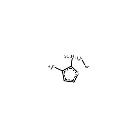 CC(N)=O.Cc1ccsc1S(=O)(=O)O